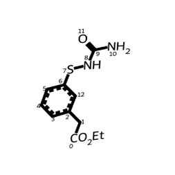 CCOC(=O)Cc1cccc(SNC(N)=O)c1